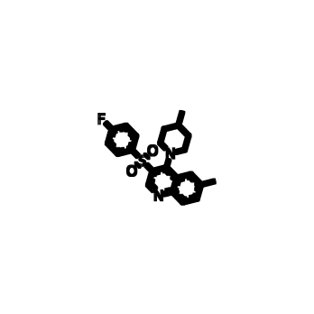 Cc1ccc2ncc(S(=O)(=O)c3ccc(F)cc3)c(N3CCC(C)CC3)c2c1